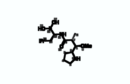 CO[C@@H]([C@@H]1CCCN1)[C@@H](C)C(=O)N[C@@H](CC(C)C)B(O)O